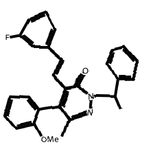 COc1ccccc1-c1c(C)nn(C(C)c2ccccc2)c(=O)c1C=Cc1cccc(F)c1